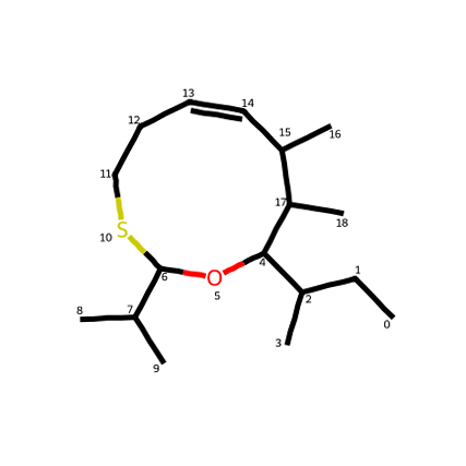 CCC(C)C1OC(C(C)C)SCC/C=C\C(C)C1C